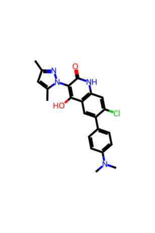 Cc1cc(C)n(-c2c(O)c3cc(-c4ccc(N(C)C)cc4)c(Cl)cc3[nH]c2=O)n1